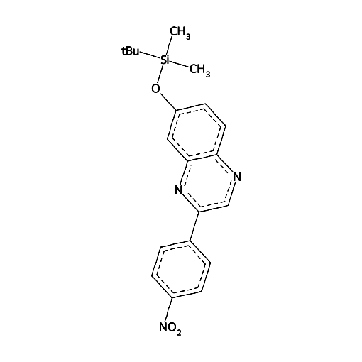 CC(C)(C)[Si](C)(C)Oc1ccc2ncc(-c3ccc([N+](=O)[O-])cc3)nc2c1